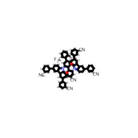 N#Cc1cccc(-c2ccc3c(c2)c2cc(-c4cccc(C#N)c4)ccc2n3-c2cc(C#N)ccc2-c2ccc(-c3c(C(F)(F)F)cccc3C(F)(F)F)cc2-n2c3ccc(-c4cccc(C#N)c4)cc3c3cc(-c4cccc(C#N)c4)ccc32)c1